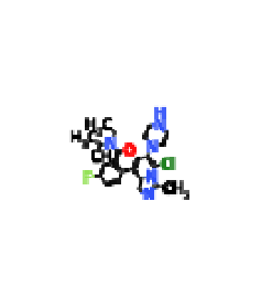 CCN(C(=O)c1cc(F)ccc1-c1cc(N2CCNCC2)c(Cl)n2c(C)ncc12)C(C)C